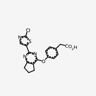 O=C(O)Cc1ccc(Oc2nc(-c3cnc(Cl)s3)nc3c2CCC3)cc1